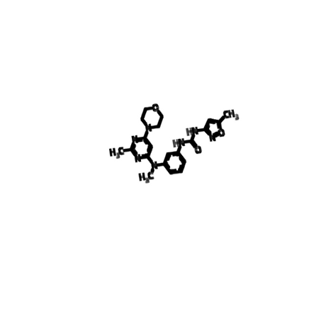 Cc1nc(N2CCOCC2)cc(N(C)c2cccc(NC(=O)Nc3cc(C)on3)c2)n1